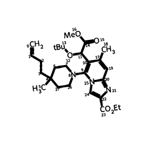 C=CCCC1(C)CCN(c2c(C(OC(C)(C)C)C(=O)OC)c(C)cc3nc(C(=O)OCC)cn23)CC1